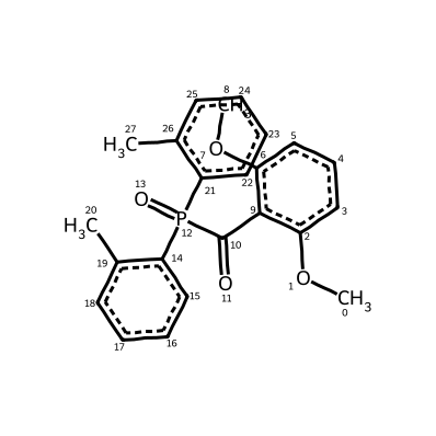 COc1cccc(OC)c1C(=O)P(=O)(c1ccccc1C)c1ccccc1C